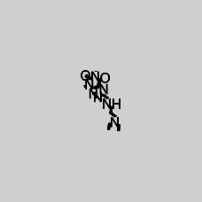 CCN(CC)CCCNCc1nnc2c(n1)c(=O)n(C)c(=O)n2C